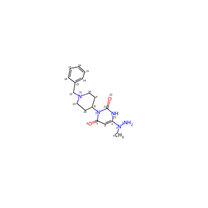 CN(N)c1cc(=O)n(C2CCN(Cc3ccccc3)CC2)c(=O)[nH]1